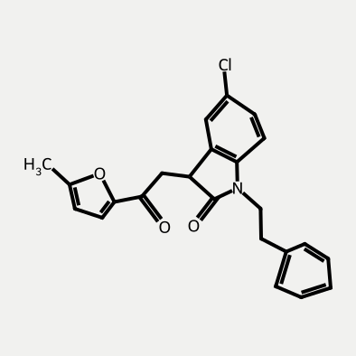 Cc1ccc(C(=O)CC2C(=O)N(CCc3ccccc3)c3ccc(Cl)cc32)o1